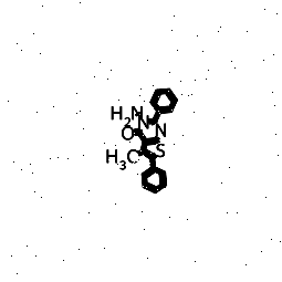 Cc1c(-c2ccccc2)sc2nc(-c3ccccc3)n(N)c(=O)c12